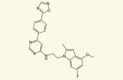 COc1cc(F)cc2c1cc(C)n2CCNc1cc(-c2ccc(-c3ncno3)cc2)ncn1